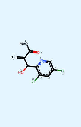 C=C(C(=O)OC)C(O)c1ncc(Cl)cc1Cl